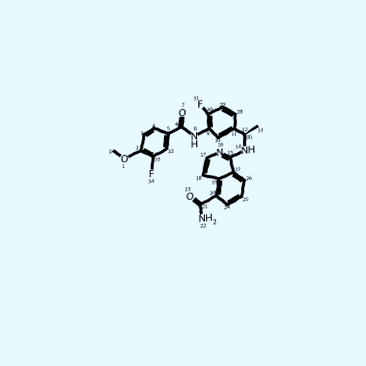 COc1ccc(C(=O)Nc2cc([C@@H](C)Nc3nccc4c(C(N)=O)cccc34)ccc2F)cc1F